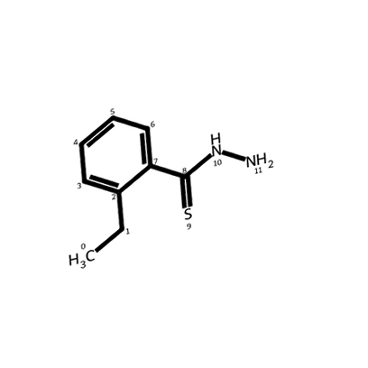 CCc1ccccc1C(=S)NN